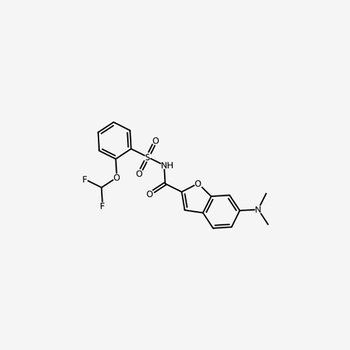 CN(C)c1ccc2cc(C(=O)NS(=O)(=O)c3ccccc3OC(F)F)oc2c1